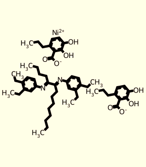 CCCCCCCCC(=Nc1ccc(CC)c(CC)c1)C(CCCC)=Nc1ccc(CC)c(CC)c1.CCCc1ccc(O)c(O)c1C(=O)[O-].CCCc1ccc(O)c(O)c1C(=O)[O-].[Ni+2]